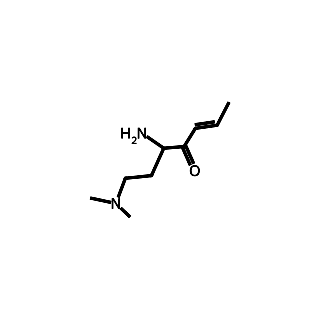 CC=CC(=O)C(N)CCN(C)C